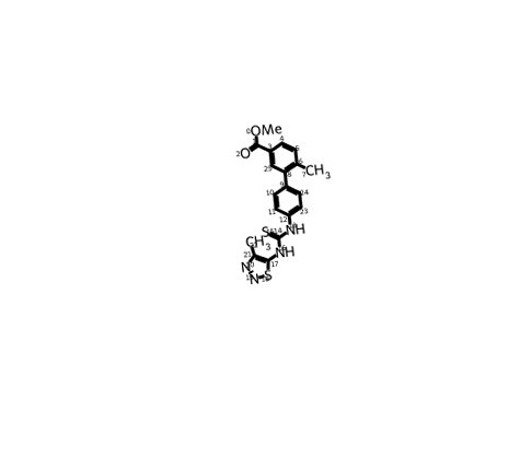 COC(=O)c1ccc(C)c(-c2ccc(NC(=S)Nc3snnc3C)cc2)c1